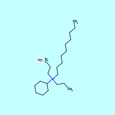 CCCCCCCCCC[N+](CCC)(CCC)C1CCCCC1.[OH-]